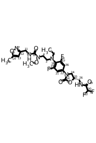 CCN(CCN(OC)C(=O)NCc1cc(C)on1)c1c(F)cc(N2C[C@H](CNC(=O)C(F)F)OC2=O)cc1F